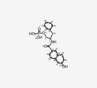 O=C(NC(COP(=O)(O)O)Cc1ccccc1)c1ccc2cc(O)ccc2c1